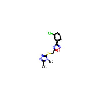 CCn1c(SCc2nc(-c3cccc(Cl)c3)no2)nnc1C(F)(F)F